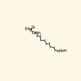 CCCCCCCCCCCCCCCCCCNOC(=O)CC